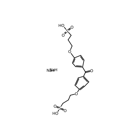 O=C(c1ccc(OCCCS(=O)(=O)O)cc1)c1ccc(OCCCS(=O)(=O)O)cc1.[NaH].[NaH]